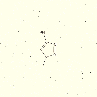 [3H]c1cn(C)nn1